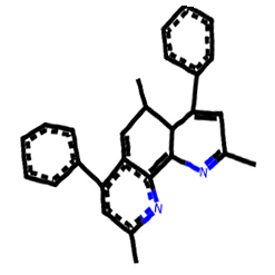 CC1=NC2=c3nc(C)cc(-c4ccccc4)c3=CC(C)C2C(c2ccccc2)=C1